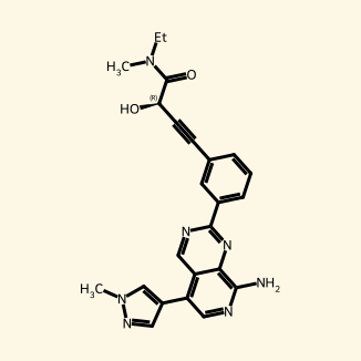 CCN(C)C(=O)[C@H](O)C#Cc1cccc(-c2ncc3c(-c4cnn(C)c4)cnc(N)c3n2)c1